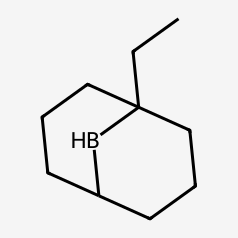 CCC12BC(CCC1)CCC2